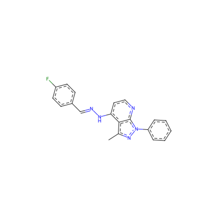 Cc1nn(-c2ccccc2)c2nccc(NN=Cc3ccc(F)cc3)c12